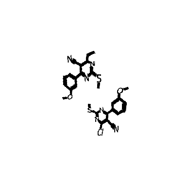 C=Cc1nc(SC)nc(-c2cccc(OC)c2)c1C#N.COc1cccc(-c2nc(SC)nc(Cl)c2C#N)c1